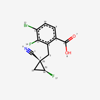 N#C[C@]1(Cc2c(C(=O)O)ccc(Br)c2F)C[C@@H]1F